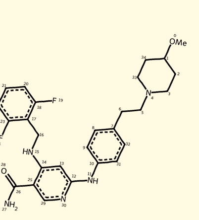 COC1CCN(CCc2ccc(Nc3cc(NCc4c(F)cccc4F)c(C(N)=O)cn3)cc2)CC1